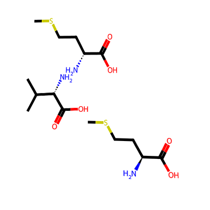 CC(C)[C@H](N)C(=O)O.CSCC[C@@H](N)C(=O)O.CSCC[C@H](N)C(=O)O